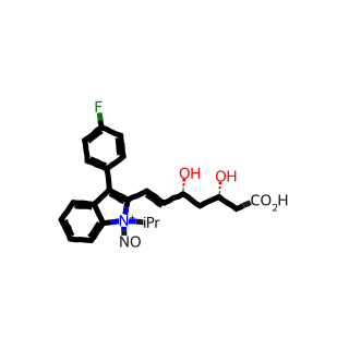 CC(C)[N+]1(N=O)C(/C=C/[C@H](O)C[C@H](O)CC(=O)O)=C(c2ccc(F)cc2)c2ccccc21